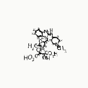 Cc1ncc(Cn2c(NC3CCN(C)CC3)nc3ccccc32)o1.O=C(O)C(O)C(O)C(=O)O